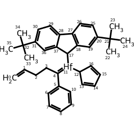 C=CCC[C](c1ccccc1)=[Hf]([CH]1C=CC=C1)[CH]1c2cc(C(C)(C)C)ccc2-c2ccc(C(C)(C)C)cc21